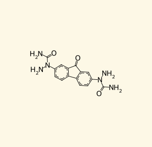 NC(=O)N(N)c1ccc2c(c1)C(=O)c1cc(N(N)C(N)=O)ccc1-2